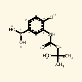 CC(C)(C)OC(=O)Nc1cc(B(O)O)ccc1Cl